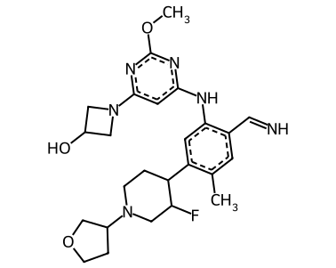 COc1nc(Nc2cc(C3CCN(C4CCOC4)CC3F)c(C)cc2C=N)cc(N2CC(O)C2)n1